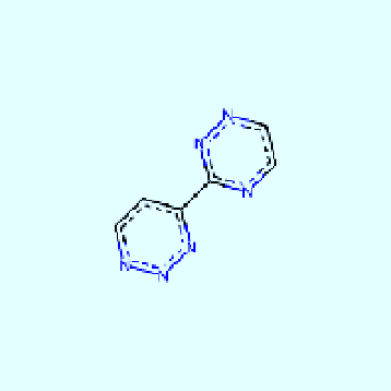 c1cc(-c2nccnn2)nnn1